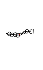 C#CCOCCOCCOCCOc1ccc(C(C)(C)c2ccc(OCCCCl)cc2)cc1